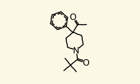 CC(=O)C1(c2ccccc2)CCN(C(=O)C(C)(C)C)CC1